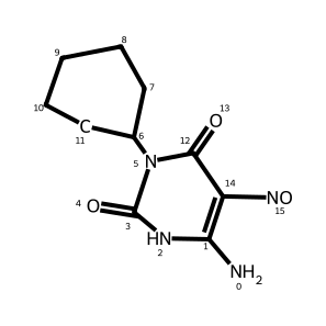 Nc1[nH]c(=O)n(C2CCCCC2)c(=O)c1N=O